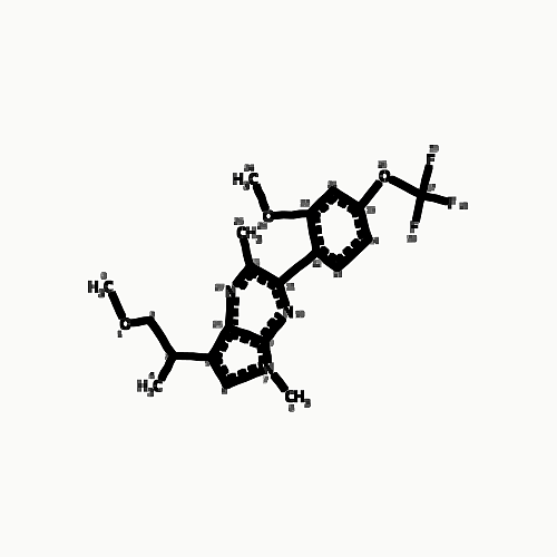 COCC(C)c1cn(C)c2nc(-c3ccc(OC(F)(F)F)cc3OC)c(C)nc12